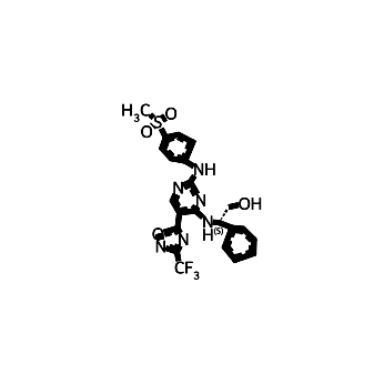 CS(=O)(=O)c1ccc(Nc2ncc(-c3nc(C(F)(F)F)no3)c(N[C@H](CO)c3ccccc3)n2)cc1